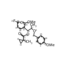 COc1ccc(COC(C)[C@H](OC(=O)C2(C)CC2)c2ccc(F)cc2OC)cc1